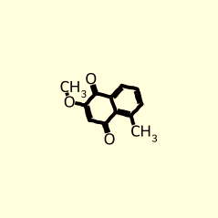 COC1=CC(=O)c2c(C)cccc2C1=O